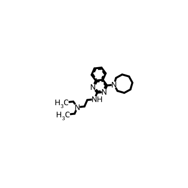 CCN(CC)CCNc1nc(N2CCCCCCC2)c2ccccc2n1